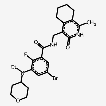 CCN(c1cc(Br)cc(C(=O)NCc2c3c(c(C)[nH]c2=O)CCCC3)c1F)C1CCOCC1